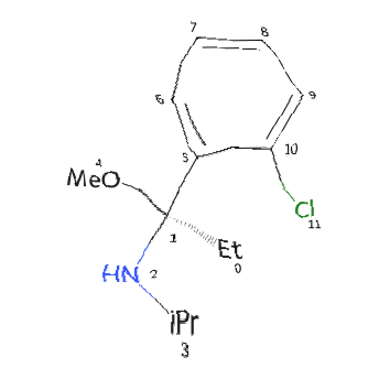 CC[C@](NC(C)C)(OC)c1ccccc1Cl